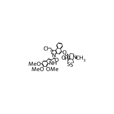 COc1cc2cc(C(=O)N3C[C@@H](CCl)c4c3cc(OC(=O)N3CCN(C)C5CSSC[C@H]53)c3ccccc43)[nH]c2c(OC)c1OC